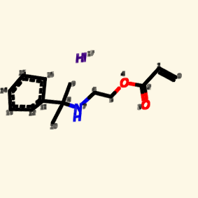 C=CC(=O)OCCNC(C)(C)c1ccccc1.I